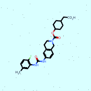 Cc1ccc(F)c(NC(=O)Nc2ccc3c(c2)CCN(C(=O)OC2CCC(CC(=O)O)CC2)C3)c1